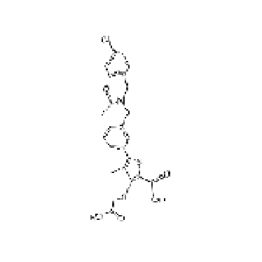 CC(=O)N(Cc1ccc(Cl)cc1)Cc1cccc(-c2sc(C(=O)O)c(OCC(=O)O)c2C)c1